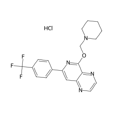 Cl.FC(F)(F)c1ccc(-c2cc3nccnc3c(OCN3CCCCC3)n2)cc1